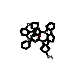 CC1C=c2c(n(-c3nc(C4=CCCC=C4)nc(C4C=CC=CC4)n3)c3c2ccc2c4ccccc4n(-c4cnc(-c5c(O)cccc5O)nc4)c23)=CC1